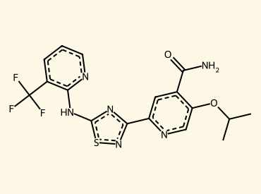 CC(C)Oc1cnc(-c2nsc(Nc3ncccc3C(F)(F)F)n2)cc1C(N)=O